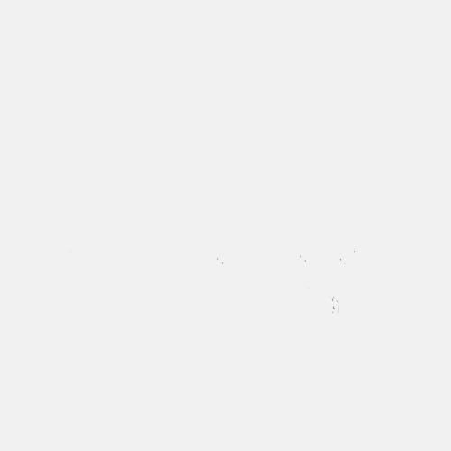 CCCCCCC12CN[C@]3(Cc4c(n(Cc5ccc(C(=O)OC(C)(C)C)cc5)c5ccccc45)[C@H](C)N3C1=O)C(=O)N2CCC